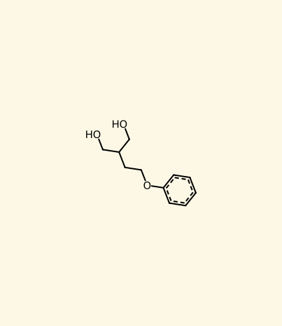 OCC(CO)CCOc1ccccc1